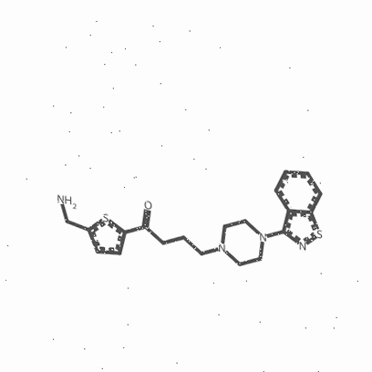 NCc1ccc(C(=O)CCCN2CCN(c3nsc4ccccc34)CC2)s1